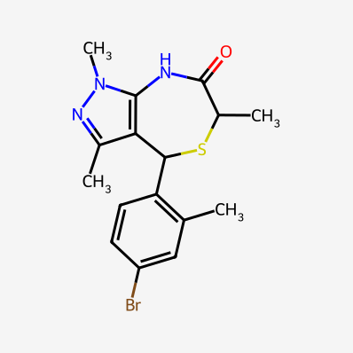 Cc1cc(Br)ccc1C1SC(C)C(=O)Nc2c1c(C)nn2C